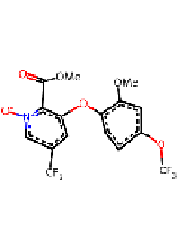 COC(=O)c1c(Oc2ccc(OC(F)(F)F)cc2OC)cc(C(F)(F)F)c[n+]1[O-]